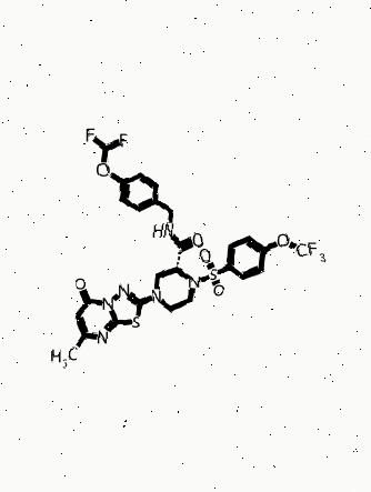 Cc1cc(=O)n2nc(N3CCN(S(=O)(=O)c4ccc(OC(F)(F)F)cc4)[C@@H](C(=O)NCc4ccc(OC(F)F)cc4)C3)sc2n1